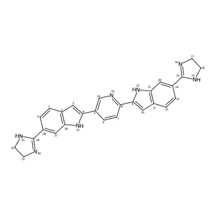 c1cc2cc(-c3ccc(-c4cc5ccc(C6=NCCN6)cc5[nH]4)nc3)[nH]c2cc1C1=NCCN1